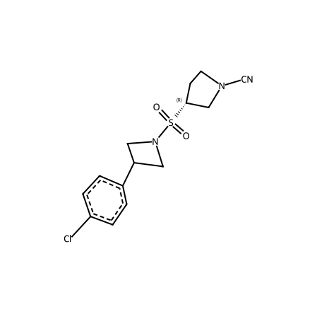 N#CN1CC[C@@H](S(=O)(=O)N2CC(c3ccc(Cl)cc3)C2)C1